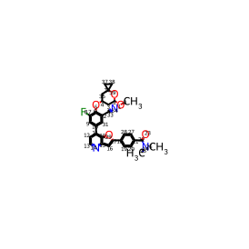 COC1CC(Oc2c(F)cc(-c3ccnc4cc(-c5ccc(C(=O)N(C)C)cc5)oc34)cc2C#N)CC2(CC2)O1